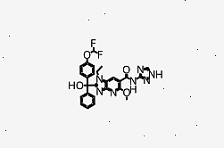 CCn1c(C(O)(c2ccccc2)c2ccc(OC(F)F)cc2)nc2nc(OC)c(C(=O)Nc3nc[nH]n3)cc21